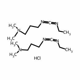 CCN=C=NCCCN(C)C.CCN=C=NCCCN(C)C.Cl